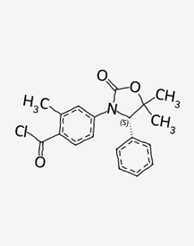 Cc1cc(N2C(=O)OC(C)(C)[C@@H]2c2ccccc2)ccc1C(=O)Cl